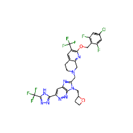 Fc1cc(Cl)cc(F)c1COc1nc2c(cc1C(F)(F)F)CCN(Cc1nc3cc(-c4nnc(C(F)(F)F)[nH]4)nnc3n1C[C@@H]1CCO1)C2